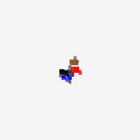 Br.N.O.[MgH2]